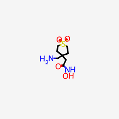 NCC1(CC(=O)NO)CCS(=O)(=O)CC1